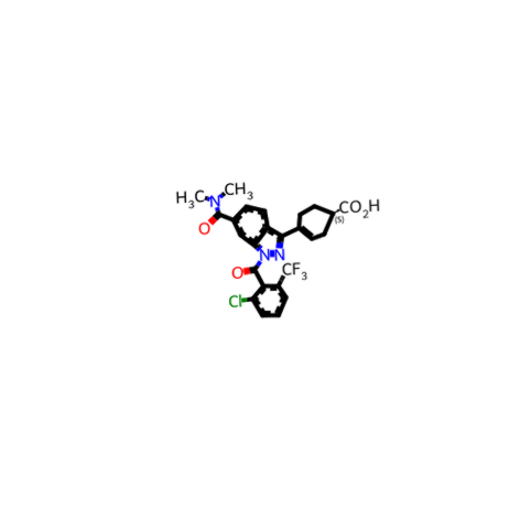 CN(C)C(=O)c1ccc2c(C3=CC[C@@H](C(=O)O)CC3)nn(C(=O)c3c(Cl)cccc3C(F)(F)F)c2c1